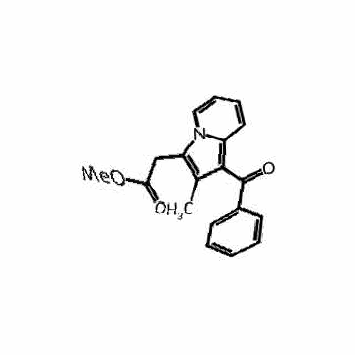 COC(=O)Cc1c(C)c(C(=O)c2ccccc2)c2ccccn12